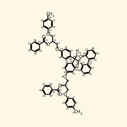 Cc1ccc(OCC(COc2ccc(C(C)(c3ccc(OCC(COc4ccc(C)cc4)OC(=O)c4ccccc4)cc3)P3(=O)Oc4ccccc4-c4ccccc43)cc2)OC(=O)c2ccccc2)cc1